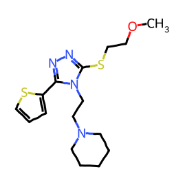 COCCSc1nnc(-c2cccs2)n1CCN1CCCCC1